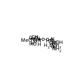 COC(=O)N[C@@H](C)C(=O)N1CC(O)CC1c1ncc(-c2ccc(-c3ccc(-c4cnc([C@@H]5C[C@H](O)CN5C(=O)C(C)(C)OC(N)=O)[nH]4)cc3)cc2)[nH]1